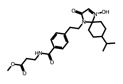 COC(=O)CCNC(=O)c1ccc(CCN2C(=O)C=[N+](O)C23CCC(C(C)C)CC3)cc1